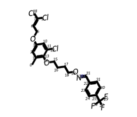 Cc1cc(OCC=C(Cl)Cl)cc(Cl)c1OCCCCO/N=C/c1ccc(C(F)(F)F)cc1